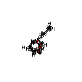 CC(C)[C@@H]1NC(=O)[C@@H](Cc2c[nH]c3ccccc23)NC(=O)[C@@H](CC(N)=O)NC(=O)[C@@H](Cc2c[nH]c3ccccc23)NC(=O)[C@@H](NC(=O)COCCOCCOCCNC(=O)CCCC[C@H]2SC[C@H]3NC(=O)N[C@H]32)Cc2cn(nn2)CCCC[C@@H](C(N)=O)NC(=O)CNC1=O